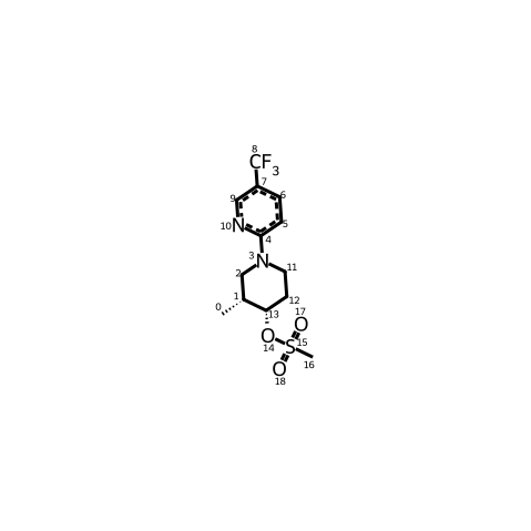 C[C@@H]1CN(c2ccc(C(F)(F)F)cn2)CC[C@@H]1OS(C)(=O)=O